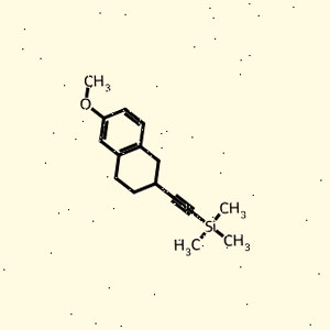 COc1ccc2c(c1)CCC(C#C[Si](C)(C)C)C2